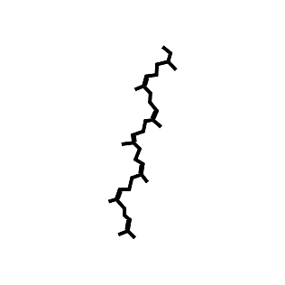 CCC(C)CCC=C(C)CCC=C(C)CCC=C(C)CCC=C(C)CCC=C(C)CCC=C(C)C